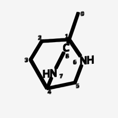 CC12CCC(CN1)NC2